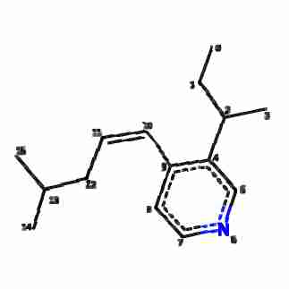 CCC(C)c1cnccc1/C=C\CC(C)C